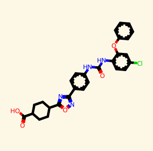 O=C(Nc1ccc(-c2noc(C3CCC(C(=O)O)CC3)n2)cc1)Nc1ccc(Cl)cc1Oc1ccccc1